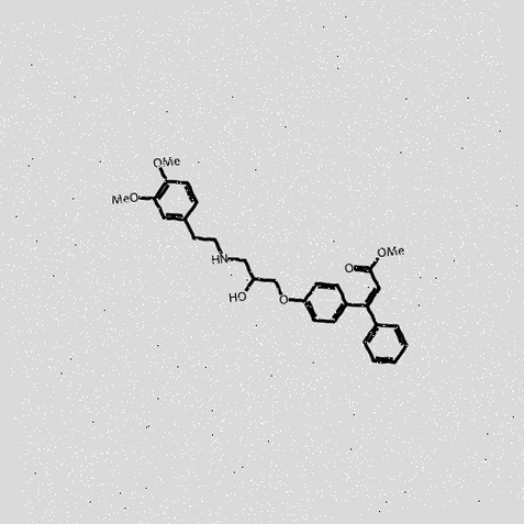 COC(=O)C=C(c1ccccc1)c1ccc(OCC(O)CNCCc2ccc(OC)c(OC)c2)cc1